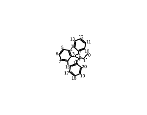 C[CH][Si](c1ccccc1)(c1ccccc1)c1ccccc1